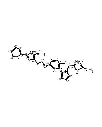 Cc1nnc([C@@H](Cc2ccc(OCCc3nc(-c4ccccc4)oc3C)cc2)n2cccc2)[nH]1